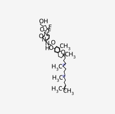 CC(C)=CCC/C(C)=C/CC/C(C)=C/CC[C@]1(C)CCc2cc(OC(=O)Nc3ccn(C4OC(CO)CC4(F)F)c(=O)n3)cc(C)c2O1